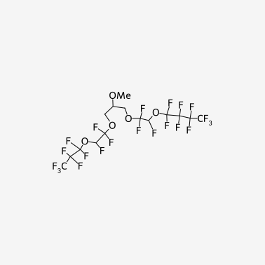 COC(COC(F)(F)C(F)OC(F)(F)C(F)(F)C(F)(F)F)COC(F)(F)C(F)OC(F)(F)C(F)(F)C(F)(F)C(F)(F)F